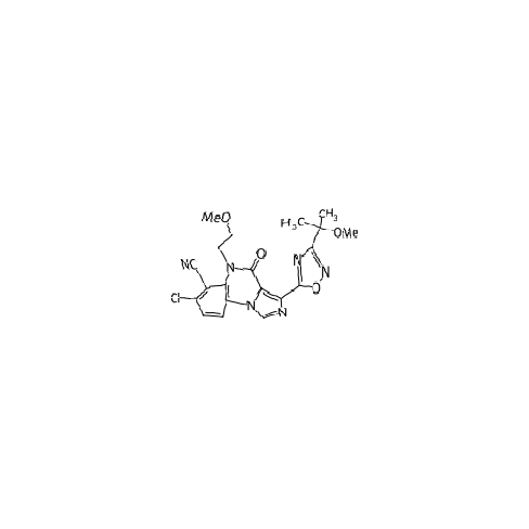 COCCn1c(=O)c2c(-c3nc(C(C)(C)OC)no3)ncn2c2ccc(Cl)c(C#N)c21